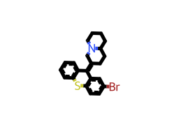 Brc1ccc2c(c1)C(=C1CCC3CCCCN3C1)c1ccccc1S2